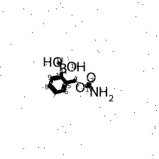 NC(=O)OCc1ccccc1B(O)O